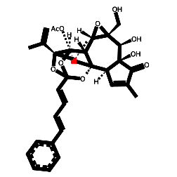 C=C(C)[C@@]12OC3(/C=C/C=C/c4ccccc4)O[C@@H]1[C@@H]1[C@@H]4O[C@]4(CO)[C@@H](O)[C@]4(O)C(=O)C(C)=C[C@H]4[C@@]1(O3)[C@H](C)[C@H]2OC(C)=O